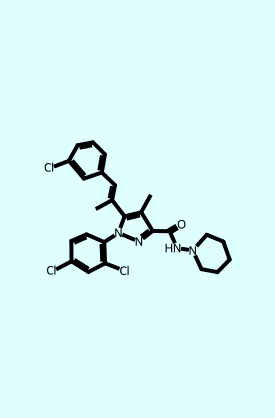 CC(=Cc1cccc(Cl)c1)c1c(C)c(C(=O)NN2CCCCC2)nn1-c1ccc(Cl)cc1Cl